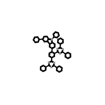 c1ccc(-c2ccc3c(c2)c2cc(-c4ccc(-c5nc(-c6ccccc6)nc(-c6ccccc6)n5)cc4-c4nc(-c5ccccc5)nc(-c5ccccc5)n4)ccc2n3-c2ccccc2)cc1